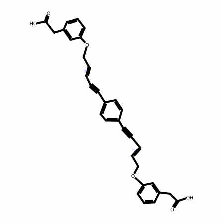 O=C(O)Cc1cccc(OC/C=C/C#Cc2ccc(C#C/C=C/COc3cccc(CC(=O)O)c3)cc2)c1